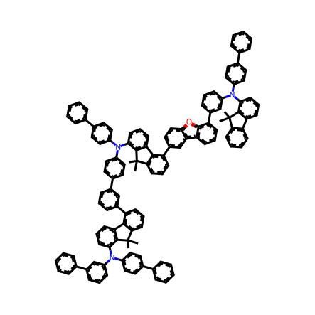 CC1(C)c2ccccc2-c2cccc(N(c3ccc(-c4ccccc4)cc3)c3cccc(-c4cccc5c4oc4ccc(-c6cccc7c6-c6cccc(N(c8ccc(-c9ccccc9)cc8)c8ccc(-c9cccc(-c%10cccc%11c%10-c%10cccc(N(c%12ccc(-c%13ccccc%13)cc%12)c%12cccc(-c%13ccccc%13)c%12)c%10C%11(C)C)c9)cc8)c6C7(C)C)cc45)c3)c21